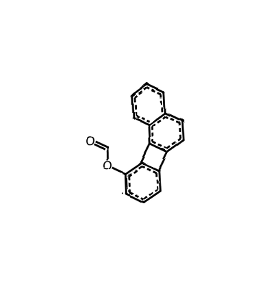 O=COc1[c]ccc2c1-c1c-2ccc2ccccc12